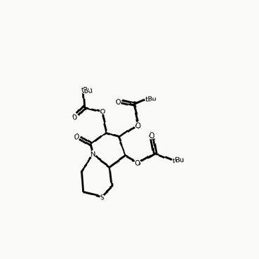 CC(C)(C)C(=O)OC1C(=O)N2CCSCC2C(OC(=O)C(C)(C)C)C1OC(=O)C(C)(C)C